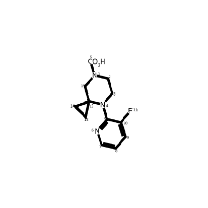 O=C(O)N1CCN(c2ncccc2F)C2(CC2)C1